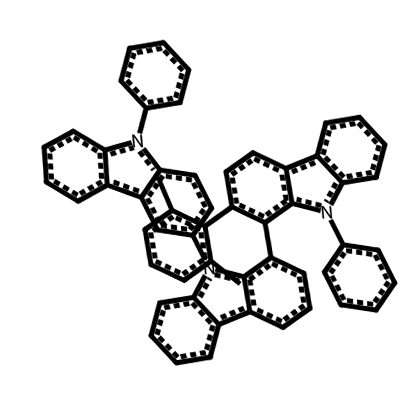 Cc1cccc(C)c1-c1ccc2c3ccccc3n(-c3ccccc3)c2c1-c1cccc2c3ccccc3n(-c3ccc4c(c3)c3ccccc3n4-c3ccccc3)c12